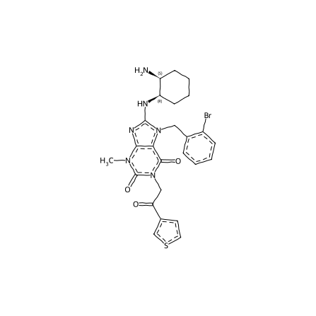 Cn1c(=O)n(CC(=O)c2ccsc2)c(=O)c2c1nc(N[C@@H]1CCCC[C@@H]1N)n2Cc1ccccc1Br